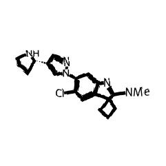 CNC1=Nc2cc(-n3cc([C@@H]4CCCN4)cn3)c(Cl)cc2C12CCC2